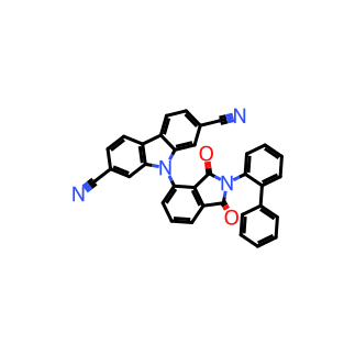 N#Cc1ccc2c3ccc(C#N)cc3n(-c3cccc4c3C(=O)N(c3ccccc3-c3ccccc3)C4=O)c2c1